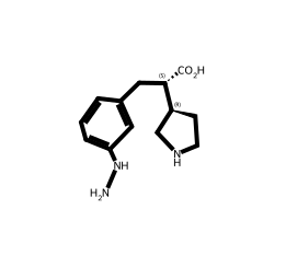 NNc1cccc(C[C@H](C(=O)O)[C@H]2CCNC2)c1